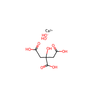 O=C(O)CC(O)(CC(=O)O)C(=O)O.[Ca+2].[OH-].[OH-]